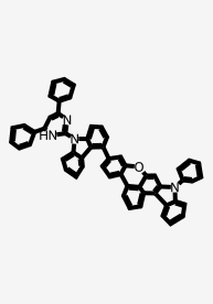 C1=C(c2ccccc2)N=C(n2c3ccccc3c3c(-c4ccc5c(c4)Oc4cc6c(c7cccc-5c47)c4ccccc4n6-c4ccccc4)cccc32)NC1c1ccccc1